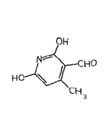 Cc1cc(O)nc(O)c1C=O